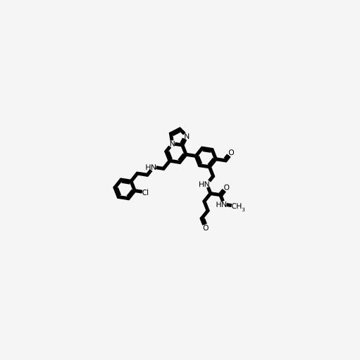 CNC(=O)C(CCC=O)NCc1cc(-c2cc(CNCCc3ccccc3Cl)cn3ccnc23)ccc1C=O